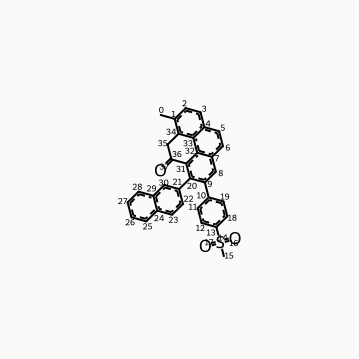 Cc1ccc2ccc3cc(-c4ccc(S(C)(=O)=O)cc4)c(-c4ccc5ccccc5c4)c4c3c2c1CC4=O